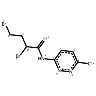 O=C(Nc1ccc(Cl)nn1)C(Br)CCBr